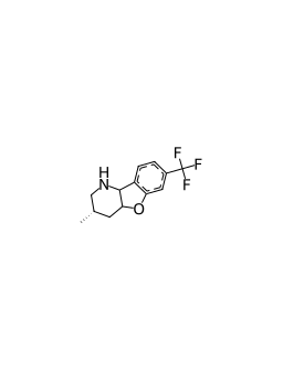 C[C@@H]1CNC2c3ccc(C(F)(F)F)cc3OC2C1